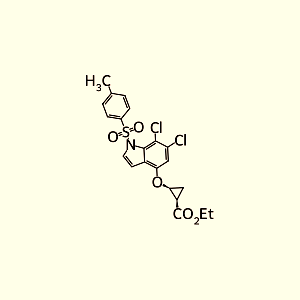 CCOC(=O)[C@@H]1C[C@@H]1Oc1cc(Cl)c(Cl)c2c1ccn2S(=O)(=O)c1ccc(C)cc1